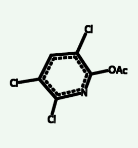 CC(=O)Oc1nc(Cl)c(Cl)cc1Cl